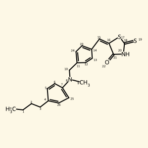 CCCCc1ccc(N(C)Cc2ccc(C=C3SC(=S)NC3=O)cc2)cc1